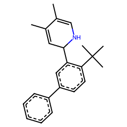 CC1=CNC(c2cc(-c3ccccc3)ccc2C(C)(C)C)C=C1C